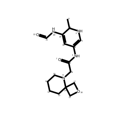 CC1NC=C(NC(=O)CN2CCCCC23COC3)C=C1NC=O